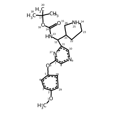 COc1ccc(Oc2cncc(C(NC(=O)OC(C)(C)C)C3CCCNC3)n2)cc1